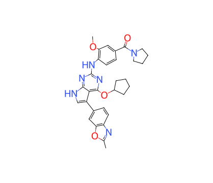 COc1cc(C(=O)N2CCCC2)ccc1Nc1nc(OC2CCCC2)c2c(-c3ccc4nc(C)oc4c3)c[nH]c2n1